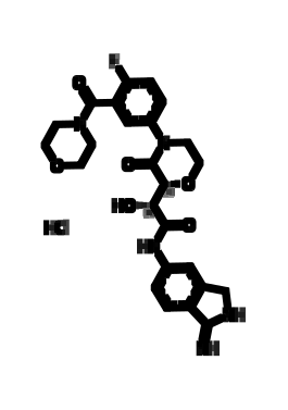 Cl.N=C1NCc2cc(NC(=O)[C@H](O)[C@H]3OCCN(c4ccc(F)c(C(=O)N5CCOCC5)c4)C3=O)ccc21